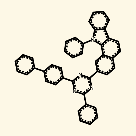 c1ccc(-c2ccc(-c3nc(-c4ccccc4)nc(-c4ccc5ccc6c7ccccc7n(-c7ccccc7)c6c5c4)n3)cc2)cc1